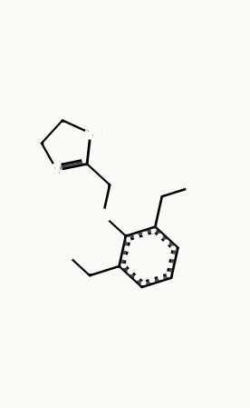 CCc1cccc(CC)c1OCC1=NCCN1